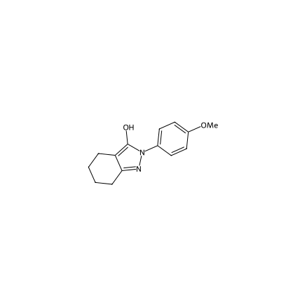 COc1ccc(-n2nc3c(c2O)CCCC3)cc1